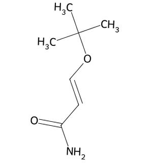 CC(C)(C)OC=CC(N)=O